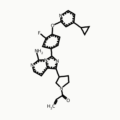 C=CC(=O)N1CCC(c2nc(-c3ccc(Oc4cc(C5CC5)ccn4)c(F)c3)n3c(N)nccc23)C1